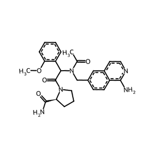 COc1ccccc1C(C(=O)N1CCC[C@H]1C(N)=O)N(Cc1ccc2c(N)nccc2c1)C(C)=O